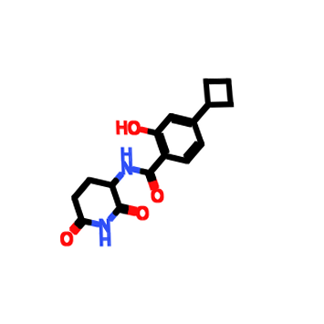 O=C1CCC(NC(=O)c2ccc(C3CCC3)cc2O)C(=O)N1